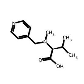 CC(C)[C@@H](C(=O)O)N(C)Cc1ccncc1